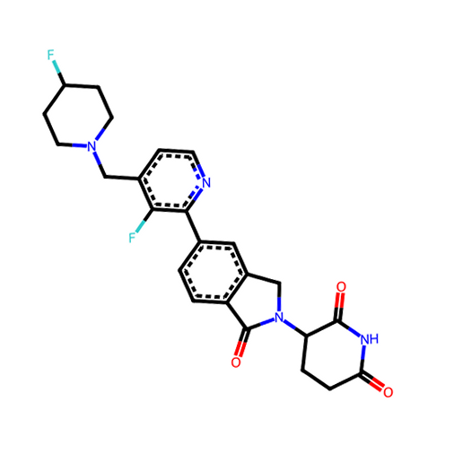 O=C1CCC(N2Cc3cc(-c4nccc(CN5CCC(F)CC5)c4F)ccc3C2=O)C(=O)N1